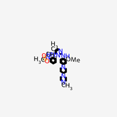 COc1cc(N2CCC(N3CCN(C)CC3)CC2)ccc1Nc1ncc(C)c(Nc2ccccc2N(C)S(C)(=O)=O)n1